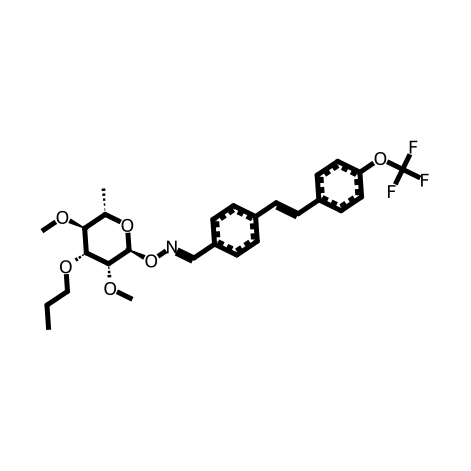 CCCO[C@@H]1[C@@H](OC)[C@H](C)O[C@@H](ON=Cc2ccc(C=Cc3ccc(OC(F)(F)F)cc3)cc2)[C@@H]1OC